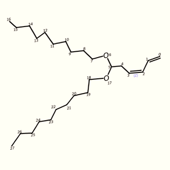 C=C/C=C\CC(OCCCCCCCCCC)OCCCCCCCCCC